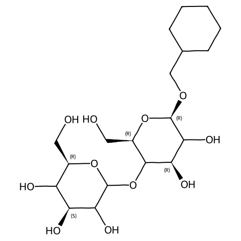 OC[C@H]1OC(OC2[C@H](O)C(O)[C@H](OCC3CCCCC3)O[C@@H]2CO)C(O)[C@@H](O)C1O